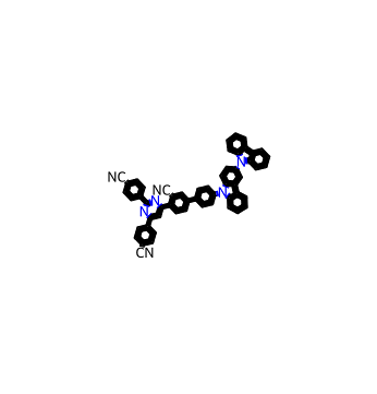 N#Cc1ccc(-c2cc(-c3ccc(-c4ccc(-n5c6ccccc6c6cc(-n7c8ccccc8c8ccccc87)ccc65)cc4)cc3C#N)nc(-c3ccc(C#N)cc3)n2)cc1